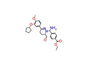 CCOC(=O)c1ccc(C(N)N2N=C(c3ccc(OC)c(OC4CCCC4)c3)CCC2C=O)cc1